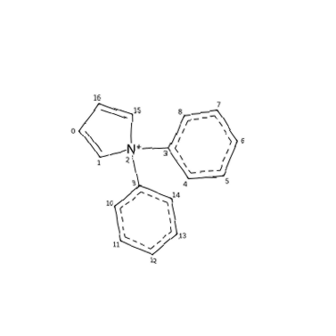 C1=C[N+](c2ccccc2)(c2ccccc2)C=C1